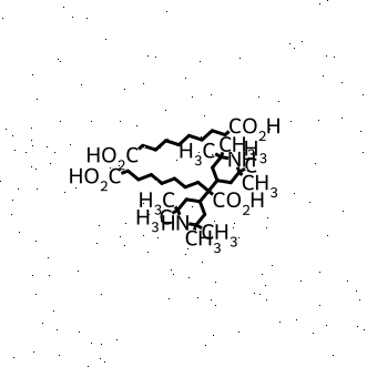 CC1(C)CC(C(CCCCCCCC(=O)O)(C(=O)O)C2CC(C)(C)NC(C)(C)C2)CC(C)(C)N1.O=C(O)CCCCCCCCC(=O)O